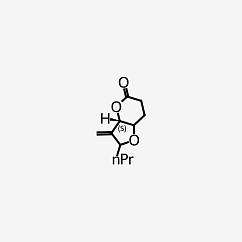 C=C1C(CCC)OC2CCC(=O)O[C@@H]12